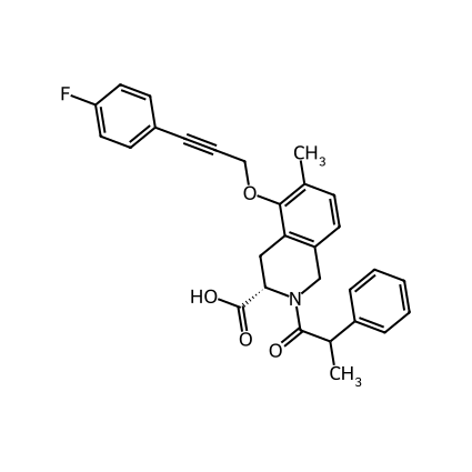 Cc1ccc2c(c1OCC#Cc1ccc(F)cc1)C[C@@H](C(=O)O)N(C(=O)C(C)c1ccccc1)C2